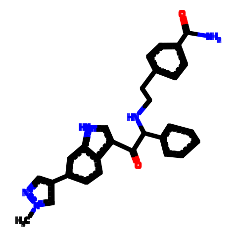 Cn1cc(-c2ccc3c(C(=O)C(NCCc4ccc(C(N)=O)cc4)c4ccccc4)c[nH]c3c2)cn1